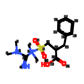 CN(C)C(=N)[N+](C)(C)S(=O)(=O)CC(Cc1ccccc1)C(=O)O